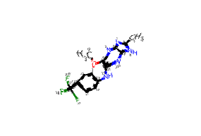 COc1nc2nc(C)[nH]c2nc1Nc1ccc(C(F)(F)F)cc1